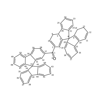 O=C(C1=CCC2C(=C1)C1(C3=C(C=CCC3)c3ccccc31)c1ccccc12)c1ccc2c(c1)C1(c3ccccc3-c3ccccc31)c1ccccc1-2